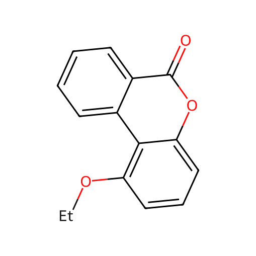 CCOc1cccc2oc(=O)c3ccccc3c12